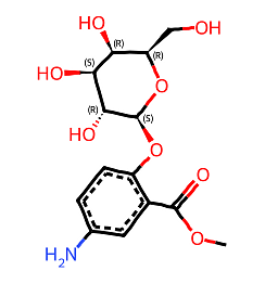 COC(=O)c1cc(N)ccc1O[C@@H]1O[C@H](CO)[C@H](O)[C@H](O)[C@H]1O